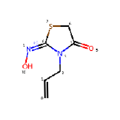 C=CCN1C(=O)CS/C1=N/O